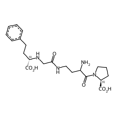 NC(CCNC(=O)CN[C@@H](CCc1ccccc1)C(=O)O)C(=O)N1CCC[C@H]1C(=O)O